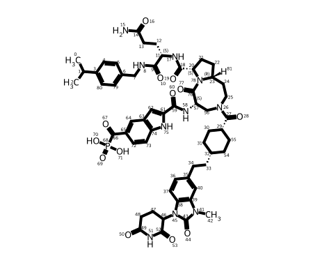 CC(C)c1ccc(CNC(=O)[C@H](CCC(N)=O)NC(=O)[C@@H]2CC[C@@H]3CCN(C(=O)[C@H]4CC[C@@H](CCc5ccc6c(c5)n(C)c(=O)n6C5CCC(=O)NC5=O)CC4)C[C@H](NC(=O)c4cc5cc(C(=O)P(=O)(O)O)ccc5[nH]4)C(=O)N32)cc1